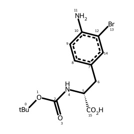 CC(C)(C)OC(=O)N[C@H](Cc1ccc(N)c(Br)c1)C(=O)O